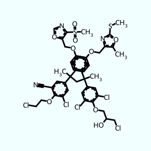 CSc1nc(COc2ccc(C(C)(CC(C)(c3ccc(OCc4ocnc4S(C)(=O)=O)cc3)c3cc(Cl)c(OCC(O)CCl)c(Cl)c3)c3cc(Cl)c(OCCCl)c(C#N)c3)cc2)c(C)o1